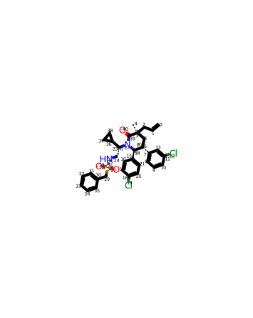 C=CC[C@@]1(C)C[C@H](c2cccc(Cl)c2)[C@@H](c2ccc(Cl)cc2)N([C@H](CNS(=O)(=O)Cc2ccccc2)C2CC2)C1=O